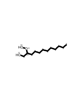 CCCCCCCCCCC(CO)OO